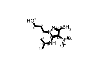 Bc1nn(CCCO)c(NC(C)C)c1[N+](=O)[O-]